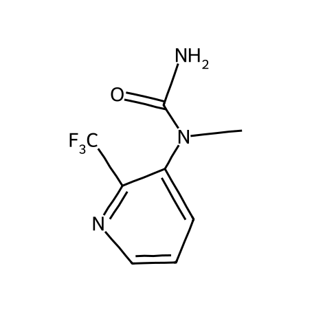 CN(C(N)=O)c1cccnc1C(F)(F)F